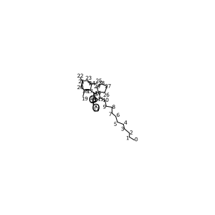 CCCCCCCCCCCC(P=O)C1(C(=O)c2c(C)cc(C)cc2C)CCCC1